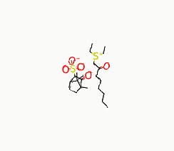 CC12CCC(C(S(=O)(=O)[O-])C1=O)C2(C)C.CCCCCCC(=O)C[S+](CC)CC